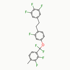 Cc1ccc(C(F)(F)Oc2ccc(CCc3cc(F)c(F)c(F)c3)c(F)c2)c(F)c1F